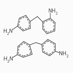 Nc1ccc(Cc2ccc(N)cc2)cc1.Nc1ccc(Cc2ccccc2N)cc1